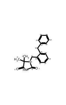 CC1(C)C(=O)NC(=O)N1Cc1ccccc1Cc1ccccc1